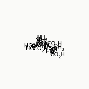 CC1=NC2=CN(C(=O)O)NN2C(SCC2=C(C(=O)O)N3C(=O)[C@@H](NC(=O)C(=NOCc4ccc(O)c(O)c4C(=O)O)c4csc(N)n4)[C@H]3SC2)=C1